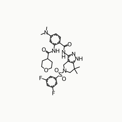 CN(C)c1ccc(C(=O)Nc2n[nH]c3c2CN(S(=O)(=O)c2cc(F)cc(F)c2)CC3(C)C)c(NC(=O)C2CCOCC2)c1